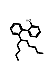 CCCCCC(CCCC)c1ccccc1-c1ccccc1O